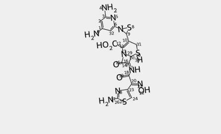 Nc1cc(N)nc(N2SC2C2=C(C(=O)O)N3C(=O)[C@@H](NC(=O)C(=NO)c4csc(N)n4)[C@@H]3SC2)c1